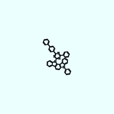 c1ccc(-c2ccc(-c3nc(-c4ccccc4)nc(-n4c5ccccc5c5ccc6c(c7ccccc7n6-c6ccccc6)c54)n3)cc2)cc1